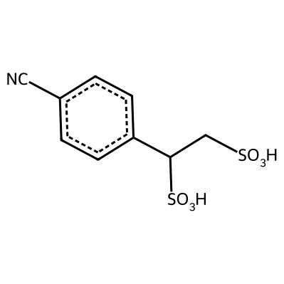 N#Cc1ccc(C(CS(=O)(=O)O)S(=O)(=O)O)cc1